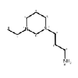 CCN1CCCN(CCCN)C1